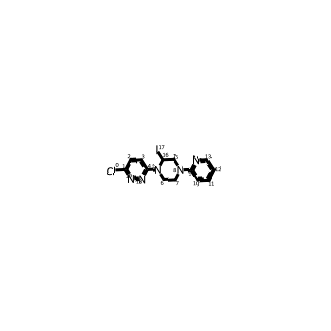 Clc1ccc(N2CCN(c3ccccn3)CC2I)nn1